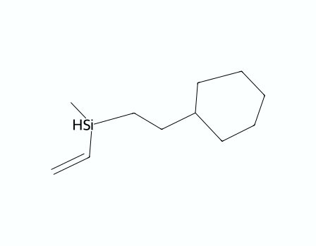 C=C[SiH](C)CCC1CCCCC1